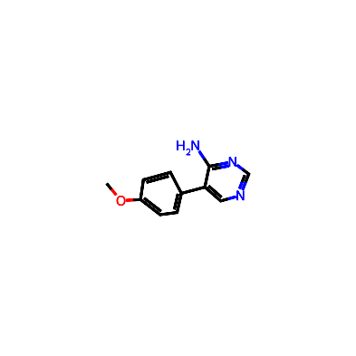 COc1ccc(-c2cncnc2N)cc1